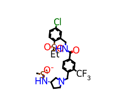 CCS(=O)(=O)c1ccc(Cl)cc1CNC(=O)c1ccc(CN2CC[C@H](N[S+](C)[O-])C2)c(C(F)(F)F)c1